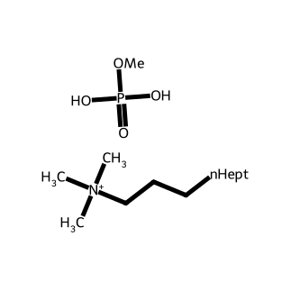 CCCCCCCCCC[N+](C)(C)C.COP(=O)(O)O